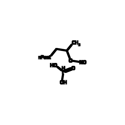 CCCCCCC(C)ON=O.O=[PH](O)O